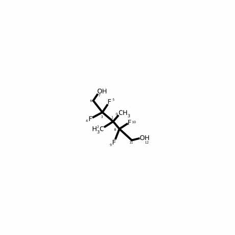 CC(C)(C(F)(F)CO)C(F)(F)CO